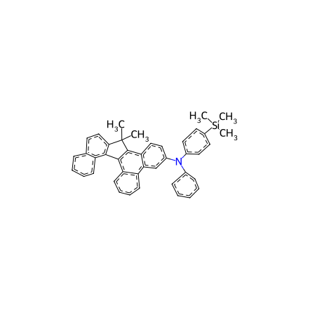 CC1(C)c2ccc3ccccc3c2-c2c1c1ccc(N(c3ccccc3)c3ccc([Si](C)(C)C)cc3)cc1c1ccccc21